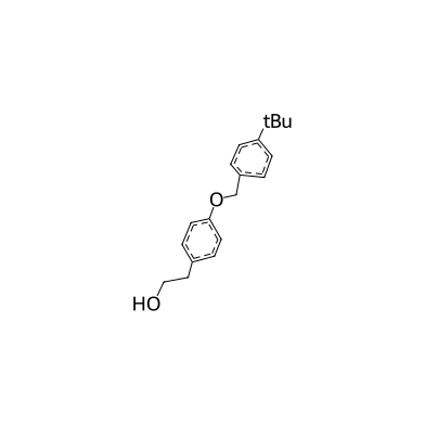 CC(C)(C)c1ccc(COc2ccc(CCO)cc2)cc1